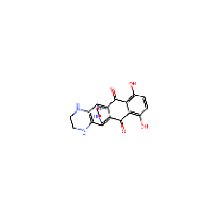 O=C1c2c(O)ccc(O)c2C(=O)c2c3c4c(c(c21)NCCN3)NCCN4